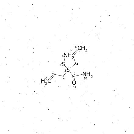 C=CCS(CC=C)(SN)C(N)=O